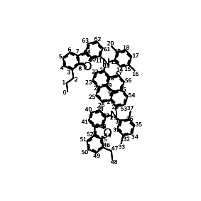 CCCc1cccc2c1oc1c(N(c3cc(C)ccc3C)c3ccc4ccc5c(N(c6cc(C)ccc6C)c6cccc7c6oc6c(CC)cccc67)ccc6ccc3c4c65)cccc12